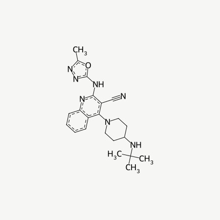 Cc1nnc(Nc2nc3ccccc3c(N3CCC(NC(C)(C)C)CC3)c2C#N)o1